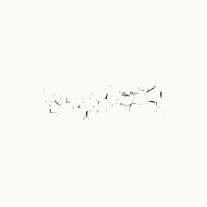 Cc1ncsc1CCOC(=O)NC(CC(=O)O)C(=O)Cn1nnc(Sc2c(Cl)cccc2Cl)n1